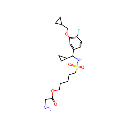 NCC(=O)OCCCCCS(=O)(=O)NC(c1ccc(F)c(OCC2CC2)c1)C1CC1